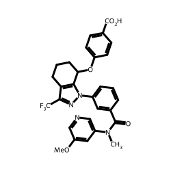 COc1cncc(N(C)C(=O)c2cccc(-n3nc(C(F)(F)F)c4c3C(Oc3ccc(C(=O)O)cc3)CCC4)c2)c1